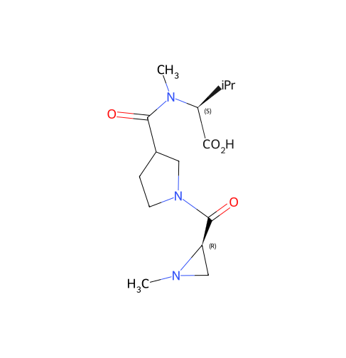 CC(C)[C@@H](C(=O)O)N(C)C(=O)C1CCN(C(=O)[C@H]2CN2C)C1